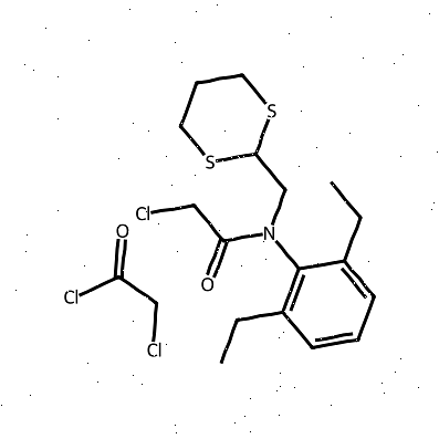 CCc1cccc(CC)c1N(CC1SCCCS1)C(=O)CCl.O=C(Cl)CCl